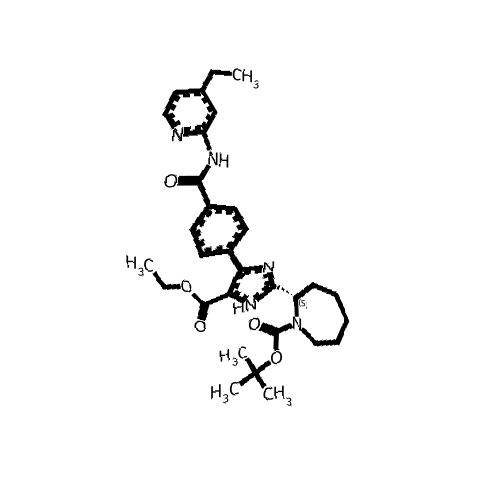 CCOC(=O)c1[nH]c([C@@H]2CCCCCN2C(=O)OC(C)(C)C)nc1-c1ccc(C(=O)Nc2cc(CC)ccn2)cc1